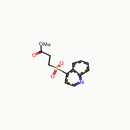 COC(=O)CCS(=O)(=O)c1ccnc2ccccc12